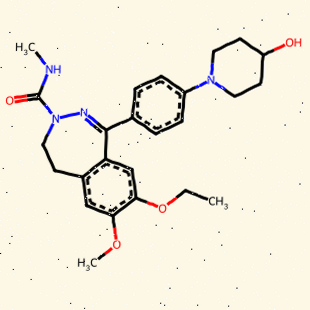 CCOc1cc2c(cc1OC)CCN(C(=O)NC)N=C2c1ccc(N2CCC(O)CC2)cc1